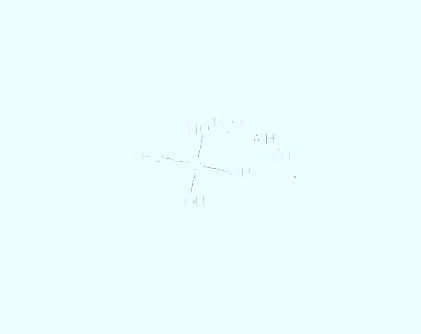 O.O[Si](O)(O)O.[AlH3].[KH].[V]